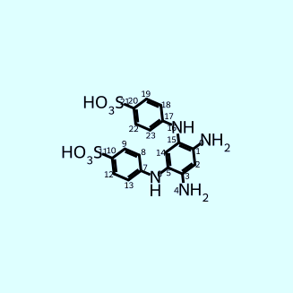 Nc1cc(N)c(Nc2ccc(S(=O)(=O)O)cc2)cc1Nc1ccc(S(=O)(=O)O)cc1